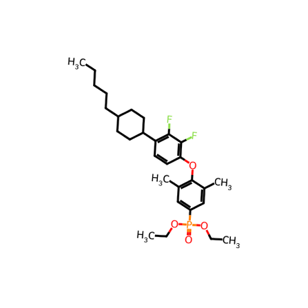 CCCCCC1CCC(c2ccc(Oc3c(C)cc(P(=O)(OCC)OCC)cc3C)c(F)c2F)CC1